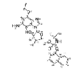 CCOc1nc(N)nc2c1ncn2C1O[C@H](COP(=O)(NC(C)C)Oc2cccc3ccccc23)[C@@H](F)[C@@]1(C)O